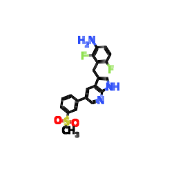 CS(=O)(=O)c1cccc(-c2cnc3[nH]cc(Cc4c(F)ccc(N)c4F)c3c2)c1